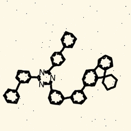 c1ccc(-c2ccc(-c3nc(-c4cccc(-c5ccccc5)c4)nc(-c4cccc(-c5cccc(-c6ccc7c(c6)C6(CCCCC6)c6ccccc6-7)c5)c4)n3)cc2)cc1